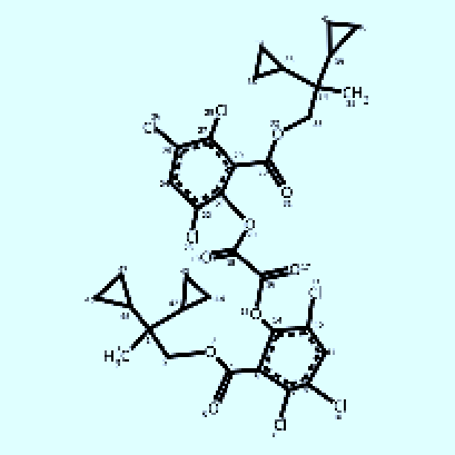 CC(COC(=O)c1c(Cl)c(Cl)cc(Cl)c1OC(=O)C(=O)Oc1c(Cl)cc(Cl)c(Cl)c1C(=O)OCC(C)(C1CC1)C1CC1)(C1CC1)C1CC1